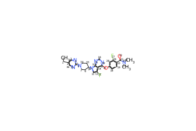 CCc1cnc(N2CCC(n3cc(F)c4c(Oc5ccc(C(=O)N(C)C)c(F)c5)ncnc43)CC2)nc1